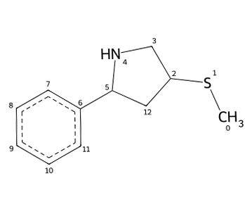 CSC1CNC(c2ccccc2)C1